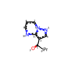 CC(C)C(=O)c1cnn2cccnc12